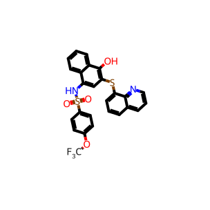 O=S(=O)(Nc1cc(Sc2cccc3cccnc23)c(O)c2ccccc12)c1ccc(OC(F)(F)F)cc1